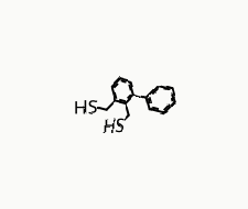 SCc1cccc(-c2ccccc2)c1CS